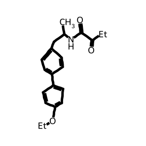 CCOc1ccc(-c2ccc(CC(C)NC(=O)C(=O)CC)cc2)cc1